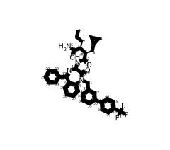 CCC[C@H](C(N)=O)[C@@H](CC1CC1)C(=O)NC1N=C(c2ccccc2)c2ccccc2N(Cc2cccc(-c3ccc(C(F)(F)F)cc3)c2)C1=O